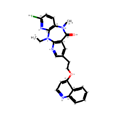 CCN1c2ncc(CCOc3ccnc4ccccc34)cc2C(=O)N(C)c2ccc(F)nc21